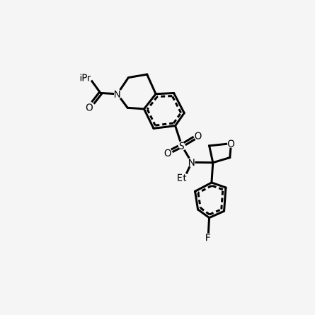 CCN(C1(c2ccc(F)cc2)COC1)S(=O)(=O)c1ccc2c(c1)CN(C(=O)C(C)C)CC2